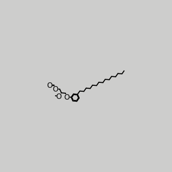 CCCCCCCCCCCCCCCc1cccc(OCC(COC=O)OC)c1